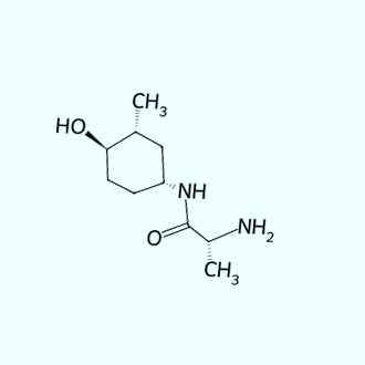 C[C@@H]1C[C@H](NC(=O)[C@@H](C)N)CC[C@H]1O